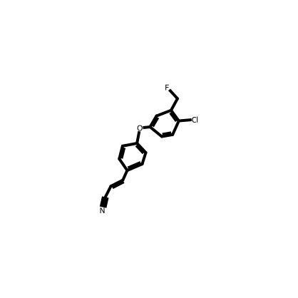 N#CC=Cc1ccc(Oc2ccc(Cl)c(CF)c2)cc1